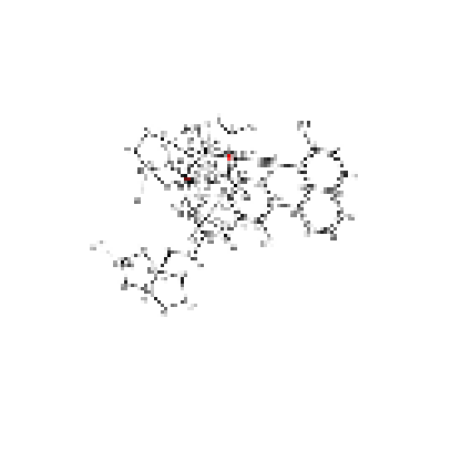 CC(C)[Si](C#Cc1c(F)ccc2cccc(-c3nc4c5c(nc(OC[C@@]67CCCN6C[C@H](F)C7)nc5c3F)N3C[C@H]5CC[C@@H]([C@H]3[C@H](C)O4)N5C(=O)OC(C)(C)C)c12)(C(C)C)C(C)C